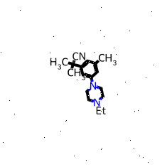 CCN1CCN(c2cc(C)cc(C(C)(C)C#N)c2)CC1